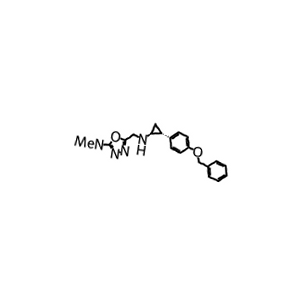 CNc1nnc(CN[C@H]2C[C@@H]2c2ccc(OCc3ccccc3)cc2)o1